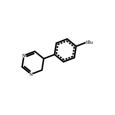 CC(C)(C)c1ccc(C2C=NC=NC2)cc1